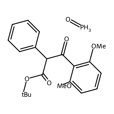 COc1cccc(OC)c1C(=O)C(C(=O)OC(C)(C)C)c1ccccc1.O=[PH3]